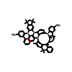 Cc1cc2c3c(c1)N(c1ccc(C(C)(C)C)cc1-c1ccccc1)c1cc4c(cc1B3c1ccc3cc1N2c1cc2c(cc1C)C(C)(C)c1ccccc1C2(C)C1CCC2(C)c5cc(C(C)(C)C)ccc5N3C2(C)C1)C(C)(C)CC4(C)C